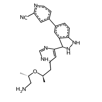 C[C@H](CC/C=C(\N=C/N)C1NNc2ccc(-c3ccnc(C#N)c3)cc21)O[C@@H](C)CN